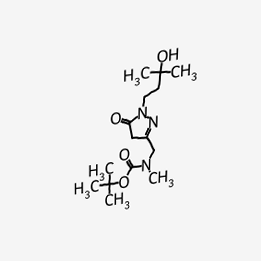 CN(CC1=NN(CCC(C)(C)O)C(=O)C1)C(=O)OC(C)(C)C